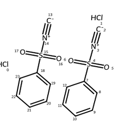 Cl.Cl.[C-]#[N+]S(=O)(=O)c1ccccc1.[C-]#[N+]S(=O)(=O)c1ccccc1